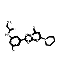 CCc1cc(NC(=O)CN)cc(-c2nn3c(=O)cc(N4CCCCC4)nc3s2)c1